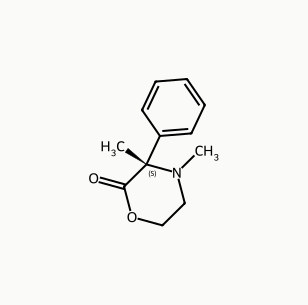 CN1CCOC(=O)[C@]1(C)c1ccccc1